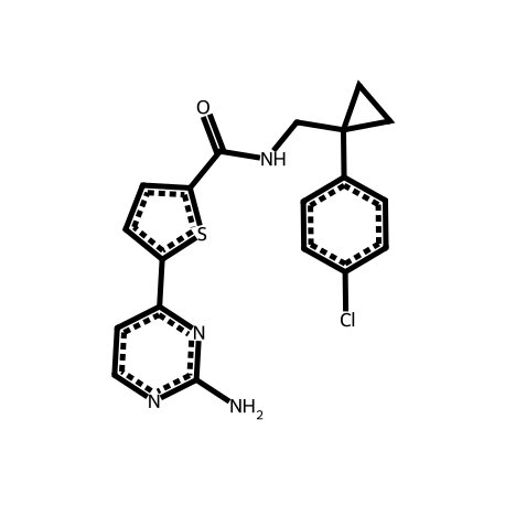 Nc1nccc(-c2ccc(C(=O)NCC3(c4ccc(Cl)cc4)CC3)s2)n1